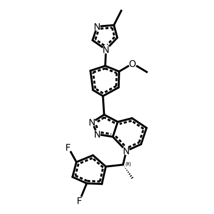 COc1cc(-c2nnc3n([C@H](C)c4cc(F)cc(F)c4)cccc2-3)ccc1-n1cnc(C)c1